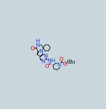 CC(C)(C)OC(=O)N1CCC[C@H](C(=O)Nc2ncc3cc4n(c3n2)C2(CCCCC2)CNC4=O)C1